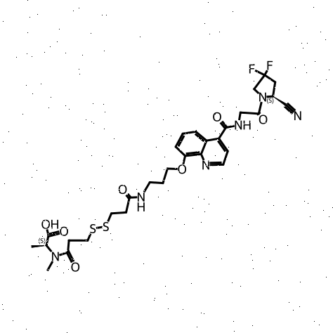 C[C@@H](C(=O)O)N(C)C(=O)CCSSCCC(=O)NCCCOc1cccc2c(C(=O)NCC(=O)N3CC(F)(F)C[C@H]3C#N)ccnc12